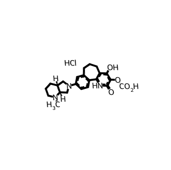 CN1CCC[C@@H]2CN(c3ccc4c(c3)CCCc3c-4[nH]c(=O)c(OC(=O)O)c3O)C[C@@H]21.Cl